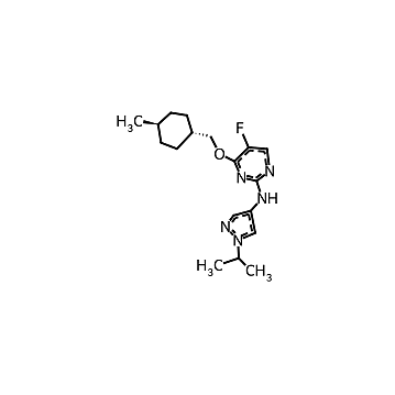 CC(C)n1cc(Nc2ncc(F)c(OC[C@H]3CC[C@H](C)CC3)n2)cn1